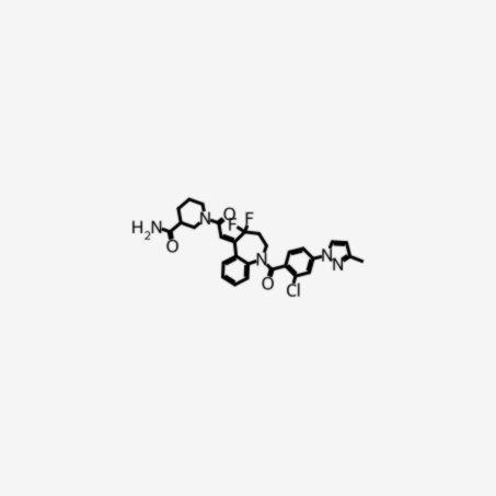 Cc1ccn(-c2ccc(C(=O)N3CCC(F)(F)/C(=C\C(=O)N4CCCC(C(N)=O)C4)c4ccccc43)c(Cl)c2)n1